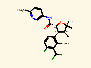 COc1c([C@H]2[C@H](C(=O)Nc3ccc(C(=O)O)nc3)O[C@@](C)(C(F)(F)F)[C@H]2C)ccc(F)c1C(F)F